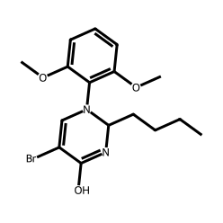 CCCCC1N=C(O)C(Br)=CN1c1c(OC)cccc1OC